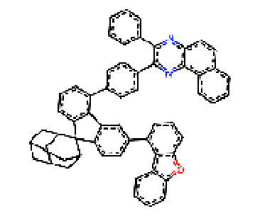 c1ccc(-c2nc3ccc4ccccc4c3nc2-c2ccc(-c3cccc4c3-c3cc(-c5cccc6oc7ccccc7c56)ccc3C43C4CC5CC(C4)CC3C5)cc2)cc1